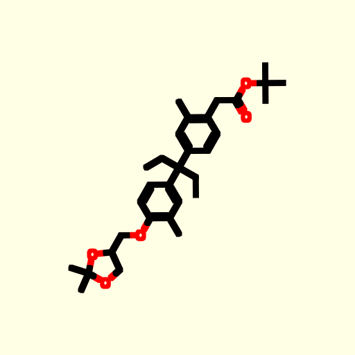 CCC(CC)(c1ccc(CC(=O)OC(C)(C)C)c(C)c1)c1ccc(OCC2COC(C)(C)O2)c(C)c1